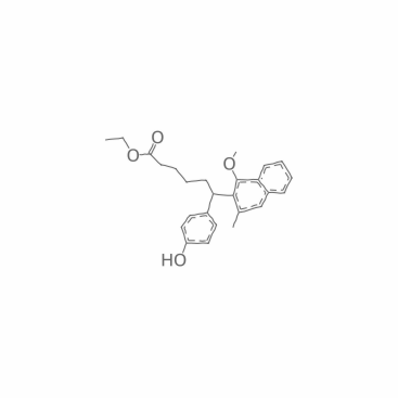 CCOC(=O)CCCCC(c1ccc(O)cc1)c1c(C)cc2ccccc2c1OC